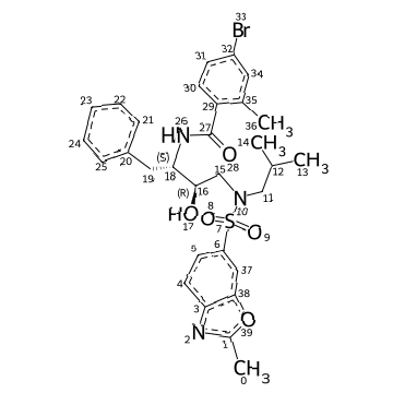 Cc1nc2ccc(S(=O)(=O)N(CC(C)C)C[C@@H](O)[C@H](Cc3ccccc3)NC(=O)c3ccc(Br)cc3C)cc2o1